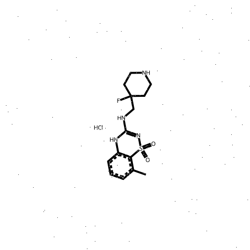 Cc1cccc2c1S(=O)(=O)N=C(NCC1(F)CCNCC1)N2.Cl